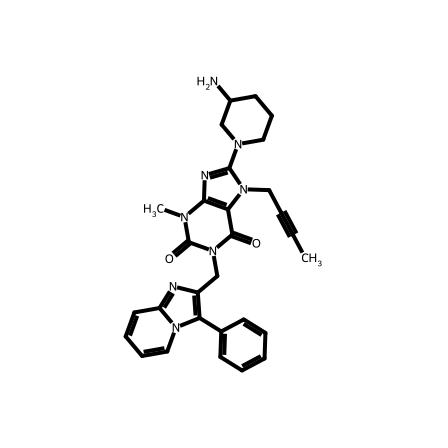 CC#CCn1c(N2CCCC(N)C2)nc2c1c(=O)n(Cc1nc3ccccn3c1-c1ccccc1)c(=O)n2C